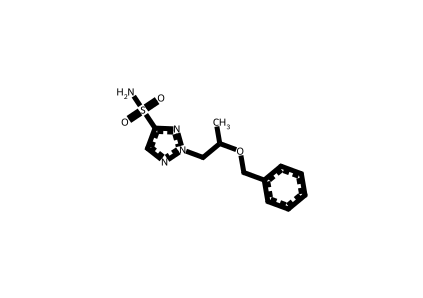 CC(Cn1ncc(S(N)(=O)=O)n1)OCc1ccccc1